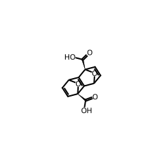 O=C(O)[C@@]12C=CC(O1)C1=C2C2C=C[C@]1(C(=O)O)O2